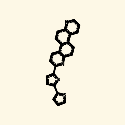 c1csc(-c2ccc(-c3ccc4c(ccc5c6cccnc6ccc45)n3)s2)c1